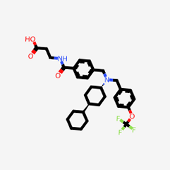 O=C(O)CCNC(=O)c1ccc(CN(Cc2ccc(OC(F)(F)F)cc2)[C@H]2CC[C@H](C3CCCCC3)CC2)cc1